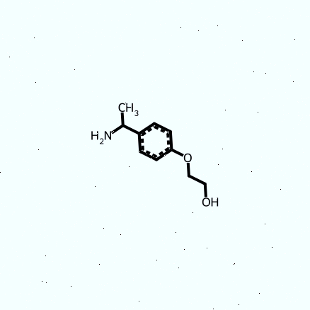 CC(N)c1ccc(OCCO)cc1